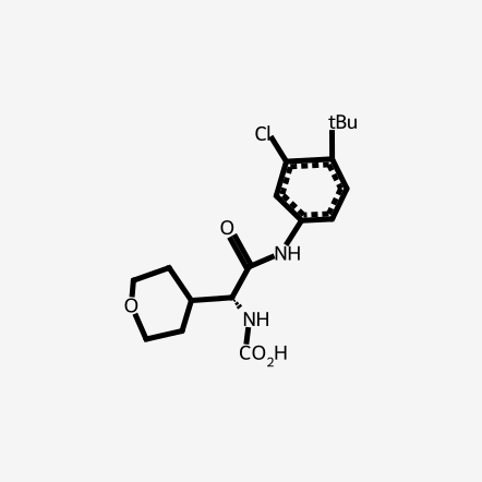 CC(C)(C)c1ccc(NC(=O)[C@H](NC(=O)O)C2CCOCC2)cc1Cl